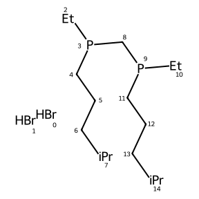 Br.Br.CCP(CCCC(C)C)CP(CC)CCCC(C)C